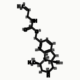 C=CCNC(=O)OCc1ccc2c(n1)N1[C@@H](CNC[C@H]1C)C2